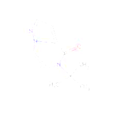 CC(C)(C)n1ccn2nccc2c1=O